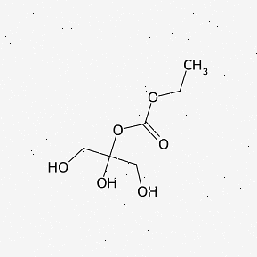 CCOC(=O)OC(O)(CO)CO